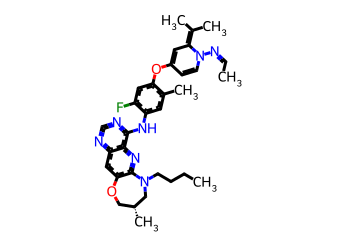 C/C=N\N1C=CC(Oc2cc(F)c(Nc3ncnc4cc5c(nc34)N(CCCC)C[C@H](C)CO5)cc2C)=CC1=C(C)C